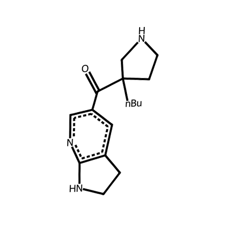 CCCCC1(C(=O)c2cnc3c(c2)CCN3)CCNC1